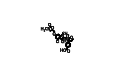 CN1CC(COc2cc(Cl)c3c(Cl)c(C(=O)NC4(c5ccc(C(=O)O)cc5)CCOC4)n(C)c3c2)OC1=O